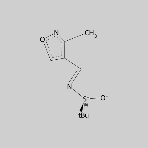 Cc1nocc1C=N[S@@+]([O-])C(C)(C)C